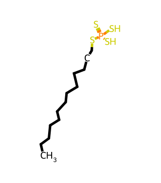 CCCCCCCCCCCCCSP(=S)(S)S